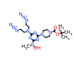 CN(O)c1nc(N(CCN=[N+]=[N-])CCN=[N+]=[N-])nc(N2CCN(C(=O)OC(C)(C)C)CC2)n1